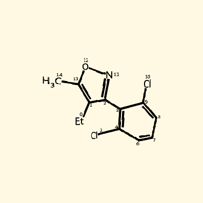 CCc1c(-c2c(Cl)cccc2Cl)noc1C